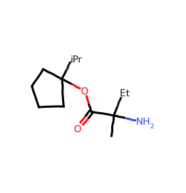 CCC(C)(N)C(=O)OC1(C(C)C)CCCC1